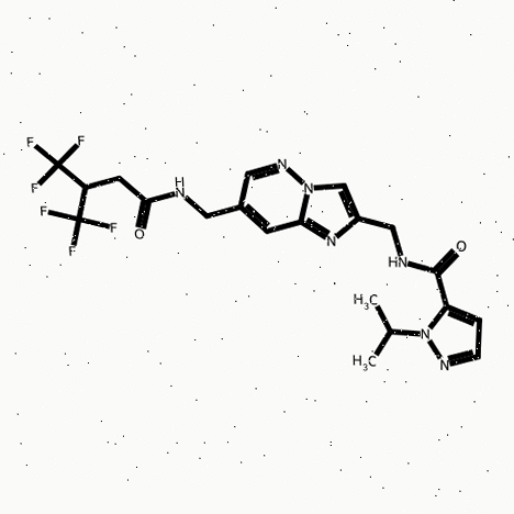 CC(C)n1nccc1C(=O)NCc1cn2ncc(CNC(=O)CC(C(F)(F)F)C(F)(F)F)cc2n1